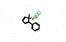 C[C]1([V+3])C=CC=C1c1ccccc1.[Cl-].[Cl-].[Cl-]